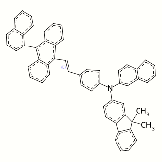 CC1(C)c2ccccc2-c2ccc(N(c3ccc(/C=C/c4c5ccccc5c(-c5cccc6ccccc56)c5ccccc45)cc3)c3ccc4ccccc4c3)cc21